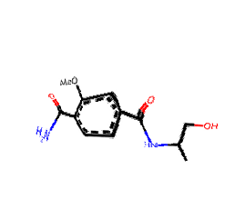 COc1cc(C(=O)NC(C)CO)ccc1C(N)=O